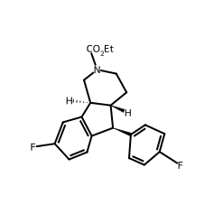 CCOC(=O)N1CC[C@@H]2[C@@H](c3ccc(F)cc3)c3ccc(F)cc3[C@H]2C1